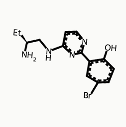 CC[C@H](N)CNc1ccnc(-c2cc(Br)ccc2O)n1